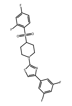 O=S(=O)(c1ccc(F)cc1F)C1CCN(c2nc(-c3cc(F)cc(F)c3)cs2)CC1